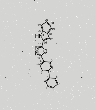 C1=CC(c2ccccc2)CC=C1c1nnc(-c2cc3ccccc3[nH]2)o1